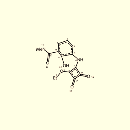 CCOc1c(Nc2cccc(C(=O)NC)c2O)c(=O)c1=O